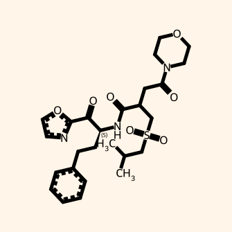 CC(C)CS(=O)(=O)CC(CC(=O)N1CCOCC1)C(=O)N[C@@H](CCc1ccccc1)C(=O)c1ncco1